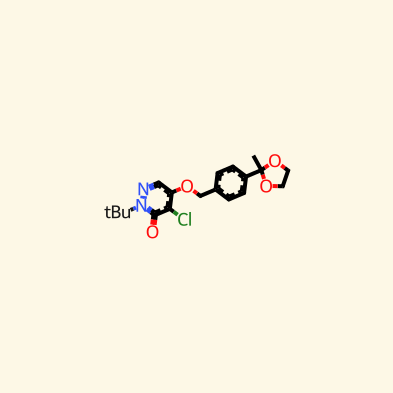 CC1(c2ccc(COc3cnn(C(C)(C)C)c(=O)c3Cl)cc2)OCCO1